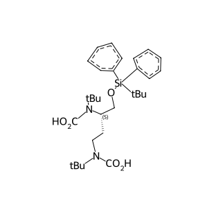 CC(C)(C)N(CC[C@@H](CO[Si](c1ccccc1)(c1ccccc1)C(C)(C)C)N(C(=O)O)C(C)(C)C)C(=O)O